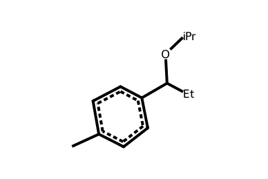 CCC(OC(C)C)c1ccc(C)cc1